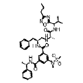 CCCc1noc([C@@H](NC(=O)[C@H](C)NC[C@H](Cc2ccccc2)NC(=O)c2cc(C(=O)N[C@H](C)c3ccccc3)cc(N(C)S(C)(=O)=O)c2)C(C)C)n1